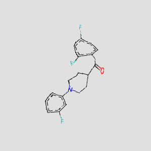 O=C(c1ccc(F)cc1F)C1CCN(c2cccc(F)c2)CC1